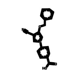 N#Cc1cn(-c2ccc(C(=O)O)cc2)cc1OCc1ccccc1